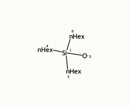 CCCCCC[Si]([O])(CCCCCC)CCCCCC